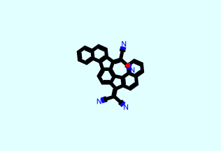 N#CC(C#N)=C1c2ccc3c(c2-c2c1ccc1ccccc21)C(=C(C#N)C#N)c1ccc2ccccc2c1-3